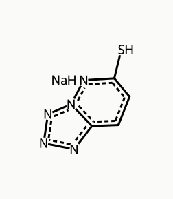 Sc1ccc2nnnn2n1.[NaH]